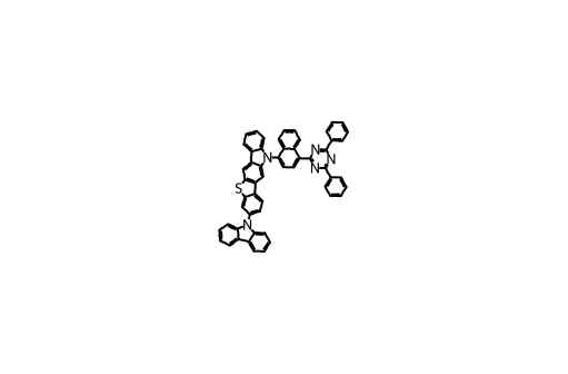 c1ccc(-c2nc(-c3ccccc3)nc(-c3ccc(-n4c5ccccc5c5cc6sc7cc(-n8c9ccccc9c9ccccc98)ccc7c6cc54)c4ccccc34)n2)cc1